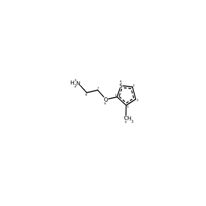 Cc1ccsc1OCCN